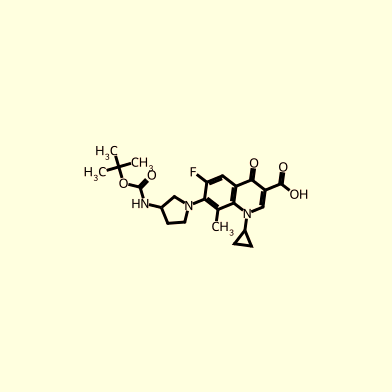 Cc1c(N2CCC(NC(=O)OC(C)(C)C)C2)c(F)cc2c(=O)c(C(=O)O)cn(C3CC3)c12